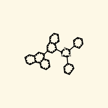 c1ccc(-c2nc(-c3ccccc3)nc(-c3cc(-c4cc5ccccc5c5ccccc45)cc4ccccc34)n2)cc1